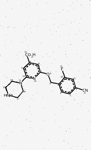 N#Cc1ccc(COc2cc(C(=O)O)cc(N3CCNCC3)n2)c(F)c1